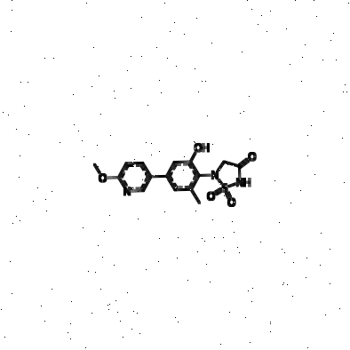 COc1ccc(-c2cc(C)c(N3CC(=O)NS3(=O)=O)c(O)c2)cn1